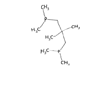 CP(C)CC(C)(C)CP(C)C